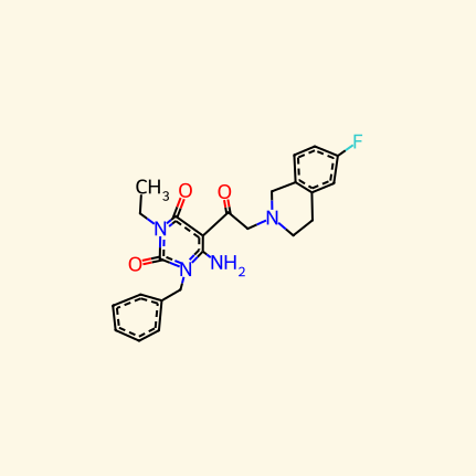 CCn1c(=O)c(C(=O)CN2CCc3cc(F)ccc3C2)c(N)n(Cc2ccccc2)c1=O